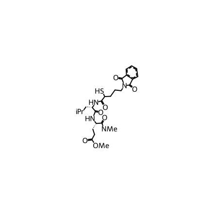 CNC(=O)[C@H](CCC(=O)OC)NC(=O)[C@H](CC(C)C)NC(=O)C(S)CCCN1C(=O)c2ccccc2C1=O